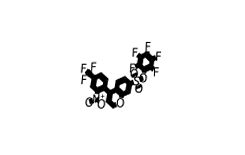 O=[N+]([O-])c1cc(C(F)(F)F)ccc1C1=CCOc2cc(S(=O)(=O)Oc3c(F)c(F)c(F)c(F)c3F)ccc21